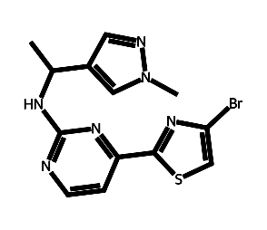 CC(Nc1nccc(-c2nc(Br)cs2)n1)c1cnn(C)c1